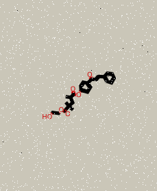 CC(CC(C)(C)C(=O)OCCO)C(=O)Oc1ccc(C(=O)/C=C/c2ccccc2)cc1